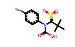 CC(C)(C)C(N(C(=O)O)c1ccc(Br)cc1)=S(=O)=O